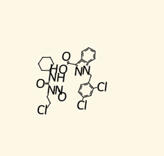 O=C(O)c1nn(Cc2ccc(Cl)cc2Cl)c2ccccc12.O=NN(CCCl)C(=O)NC1CCCCC1